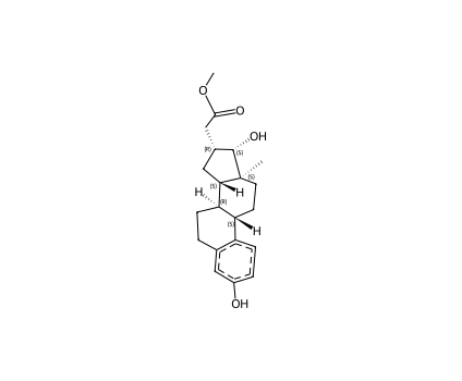 COC(=O)C[C@H]1C[C@H]2[C@@H]3CCc4cc(O)ccc4[C@H]3CC[C@]2(C)[C@H]1O